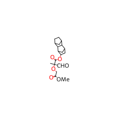 COC(=O)COC(C)(C=O)C(=O)OC1CC2CC1C1C3CCC(C3)C21